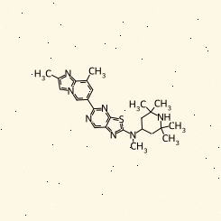 Cc1cn2cc(-c3ncc4nc(N(C)C5CC(C)(C)NC(C)(C)C5)sc4n3)cc(C)c2n1